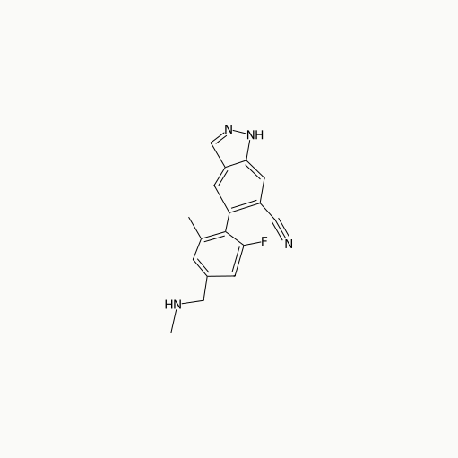 CNCc1cc(C)c(-c2cc3cn[nH]c3cc2C#N)c(F)c1